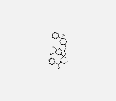 N#CC1(c2ccccc2)CCN(CCCC2(c3ccc(Cl)c(Cl)c3)CCCN(C(=O)c3ccccc3)C2)CC1